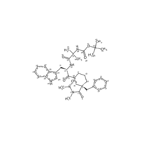 CN(C)N(C)C(=O)[C@@]1(Cc2ccccc2)CCCN(C(=O)[C@@H](Cc2c[nH]c3ccccc23)NC(=O)C(C)(C)NC(=O)OC(C)(C)C)C1